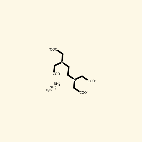 O=C([O-])CN(CCN(CC(=O)[O-])CC(=O)[O-])CC(=O)[O-].[Fe+2].[NH4+].[NH4+]